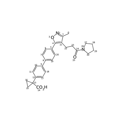 Cc1noc(-c2ccc(-c3ccc(C4(C(=O)O)CC4)cc3)cc2)c1CCC(=O)N1CCCC1